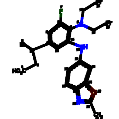 CCC(CC(=O)O)c1cc(F)c(N(CC(C)C)CC(C)C)c(Nc2ccc3nc(C)sc3c2)c1